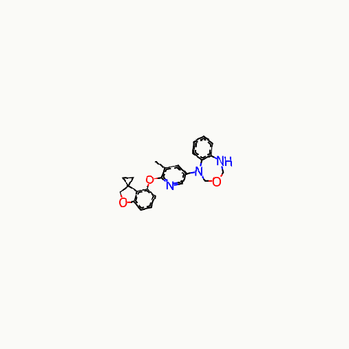 Cc1cc(N2COCNc3ccccc32)cnc1Oc1cccc2c1C1(CC1)CO2